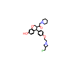 O=C(CN1CCCCC1)C1COc2cc(O)ccc2C1c1ccc(OCCN2CC(CF)C2)cc1